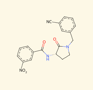 N#Cc1cccc(CN2CC[C@H](NC(=O)c3cccc([N+](=O)[O-])c3)C2=O)c1